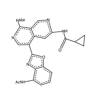 CNc1ncc(-c2nc3c(NC(C)=O)cccc3o2)c2cc(NC(=O)C3CC3)ncc12